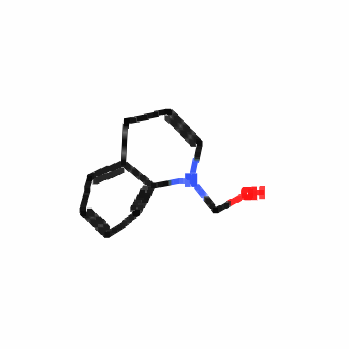 OCN1C=CCc2ccccc21